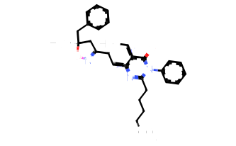 C/C=c1/c(=O)n(-c2ccccc2)c(CCCCC(=O)O)n/c1=C/CC1=NO[C@@](C)(Cc2ccccc2)C1